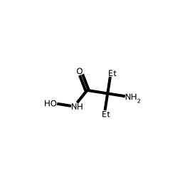 CCC(N)(CC)C(=O)NO